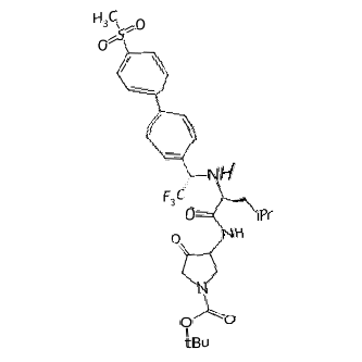 CC(C)C[C@H](N[C@@H](c1ccc(-c2ccc(S(C)(=O)=O)cc2)cc1)C(F)(F)F)C(=O)NC1CN(C(=O)OC(C)(C)C)CC1=O